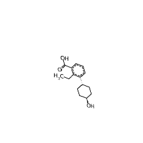 CCc1c(C(=O)O)cccc1[C@H]1CC[C@H](O)CC1